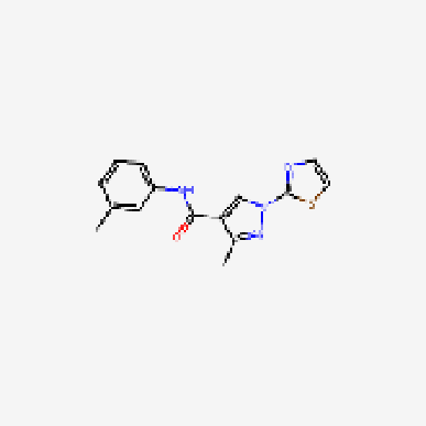 Cc1cccc(NC(=O)c2cn(-c3nccs3)nc2C)c1